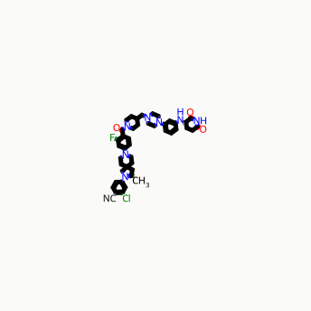 C[C@@H]1CC2(CCN(c3ccc(C(=O)N4CCC(CN5CCN(c6cccc(N[C@H]7CCC(=O)NC7=O)c6)CC5)CC4)c(F)c3)CC2)CN1c1ccc(C#N)c(Cl)c1